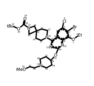 CCOc1c(Br)c(Cl)cc2c(N3CCC4(CC3)CN(C(=O)OC(C)(C)C)C4)nc(OC3CCN(CCOC)CC3)nc12